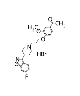 Br.COc1cc(C(C)=O)ccc1OCCCN1CCC(c2noc3cc(F)ccc23)CC1